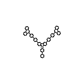 c1ccc(-c2ccc(-n3c4ccc(-c5ccc(-c6ccc(-c7cc8ccccc8c8ccccc78)cc6)cc5)cc4c4cc(-c5ccc(-c6ccc(-c7cc8ccccc8c8ccccc78)cc6)cc5)ccc43)cc2)cc1